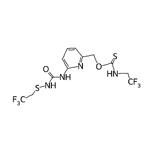 O=C(NSCC(F)(F)F)Nc1cccc(COC(=S)NCC(F)(F)F)n1